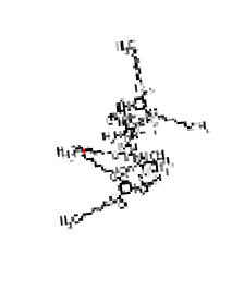 [C-]#[N+]c1cnn(-c2cc(C(=O)OCCCCCCCC)cc(C(=O)OCCCCCCCC)c2)c1N=Nc1c(C(C)(C)C)nn(-c2nc(OCCCCCCCC)nc(-n3nc(C(C)(C)C)c(N=Nc4c(C#N)cnn4-c4cc(C(=O)OCCCCCCCC)cc(C(=O)OCCCCCCCC)c4)c3N)n2)c1N